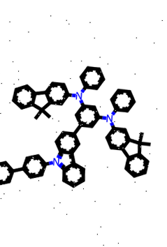 CC1(C)c2ccccc2-c2ccc(N(c3ccccc3)c3cc(-c4ccc5c(c4)c4ccccc4n5-c4ccc(-c5ccccc5)cc4)cc(N(c4ccccc4)c4ccc5c(c4)C(C)(C)c4ccccc4-5)c3)cc21